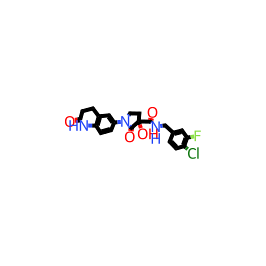 O=C1CCc2cc(N3CCC(O)(C(=O)NCc4ccc(Cl)c(F)c4)C3=O)ccc2N1